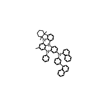 Cc1cc2c3c(c1)N1c4c(cccc4C4(C)CCCC[C@@]14C)B3c1ccc(N(c3cccc(-c4cccc5ccccc45)c3)c3cccc4ccccc34)cc1N2c1ccccc1